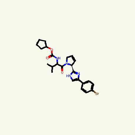 CC(C)C(NC(=O)OC1CCCC1)C(=O)N1CC=C[C@H]1c1nc(-c2ccc(Br)cc2)c[nH]1